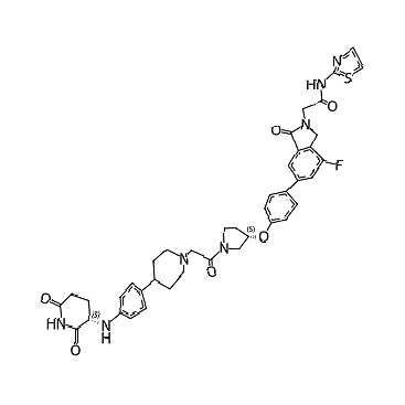 O=C1CC[C@H](Nc2ccc(C3CCN(CC(=O)N4CC[C@H](Oc5ccc(-c6cc(F)c7c(c6)C(=O)N(CC(=O)Nc6nccs6)C7)cc5)C4)CC3)cc2)C(=O)N1